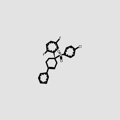 O=S(=O)(c1ccc(Cl)cc1)[C@]1(c2cc(F)ccc2F)CC=C(c2ccccc2)CC1